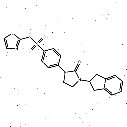 O=C1N(c2ccc(S(=O)(=O)Nc3nccs3)cc2)CCN1C1Cc2ccccc2C1